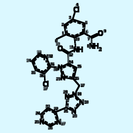 Cc1cc(Cl)cc(C(N)=O)c1NC(=O)c1cc(Cn2nnc(-c3ccncn3)n2)nn1-c1ncccc1Cl